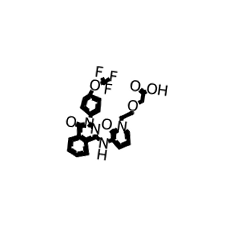 O=C(O)COCCn1cccc(Nc2nn(-c3ccc(OC(F)(F)F)cc3)c(=O)c3ccccc23)c1=O